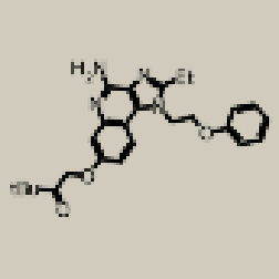 CCc1nc2c(N)nc3cc(OCC(=O)C(C)(C)C)ccc3c2n1CCOc1ccccc1